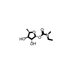 CCN(C)C(=O)O[C@H]1O[C@H](C)[C@H](O)[C@H]1O